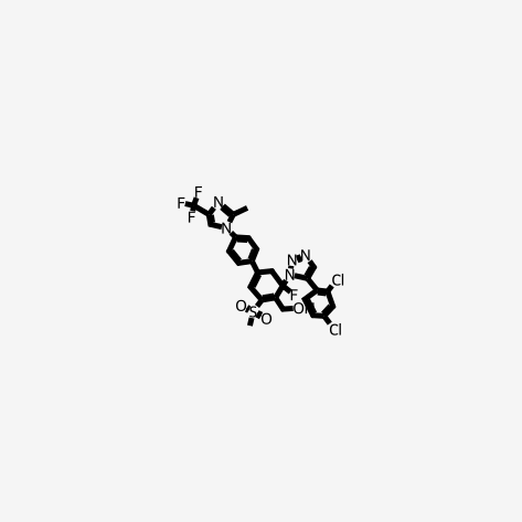 Cc1nc(C(F)(F)F)cn1-c1ccc(C2=CC(S(C)(=O)=O)=C(CO)C(F)(n3nncc3-c3ccc(Cl)cc3Cl)C2)cc1